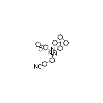 N#Cc1ccc(-c2cccc(-c3nc(-c4cccc(C5(c6ccccc6)c6ccccc6-c6ccccc65)c4)nc(-c4ccc5c(c4)oc4ccccc45)n3)c2)cc1